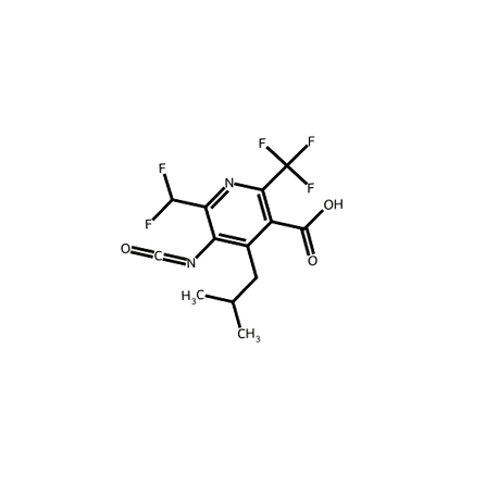 CC(C)Cc1c(N=C=O)c(C(F)F)nc(C(F)(F)F)c1C(=O)O